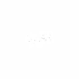 C/C(=N\c1c(C(C)C)cccc1C(C)C)C1CCCC(/C(C)=N/c2c(C(C)C)cccc2C(C)C)S1